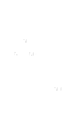 Cc1nc(NC[C@H]2CC[C@@H](CN)CC2)nc2ccccc12